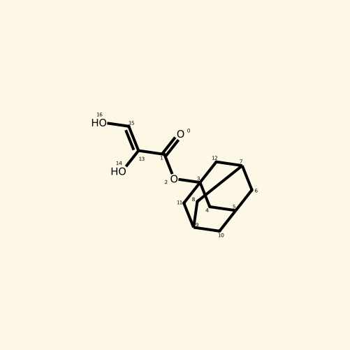 O=C(OC12CC3CC(CC(C3)C1)C2)C(O)=CO